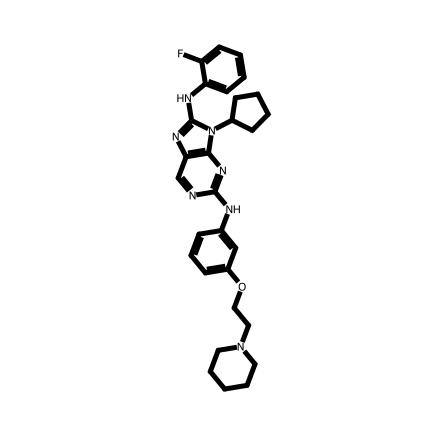 Fc1ccccc1Nc1nc2cnc(Nc3cccc(OCCN4CCCCC4)c3)nc2n1C1CCCC1